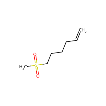 C=CCCCCS(C)(=O)=O